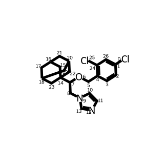 Clc1ccc(COC(Cn2ccnc2)C23CC4CC(CC(C4)C2)C3)c(Cl)c1